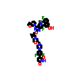 CCc1c(F)ccc2cc(O)cc(-c3ncc4c(N5CCC[C@]6(CCO6)C5)nc(OCC5(CN6CCO[C@H](CN7CCN(c8cc(F)c(C9CCC(=O)NC9=O)c(F)c8)CC7)C6)CC5)nc4c3F)c12